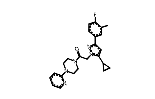 Cc1cc(-c2cc(C3CC3)n(CC(=O)N3CCN(c4ccccn4)CC3)n2)ccc1F